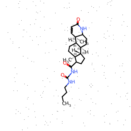 CCCCNC(=O)NC(=O)C1CC[C@H]2[C@@H]3CCC4NC(=O)C=C[C@]4(C)[C@@H]3CC[C@]12C